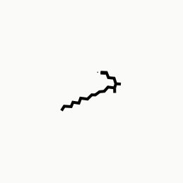 [CH]=CCCC(C)C(C)CCCCCCCCCCCC